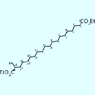 CCOC(=O)CCCCCCCCCCCCCCCCCC(C)C(=O)OCC